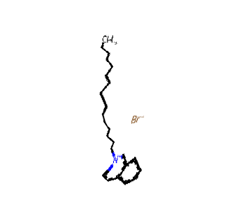 CCCCCCCCCCCCCC[n+]1ccc2ccccc2c1.[Br-]